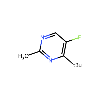 Cc1ncc(F)c(C(C)(C)C)n1